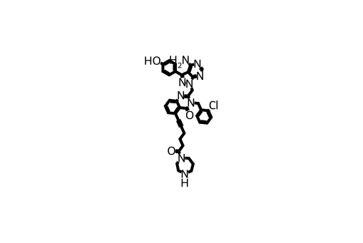 Nc1ncnc2c1c(-c1ccc(O)cc1)nn2Cc1nc2cccc(C#CCCCC(=O)N3CCCNCC3)c2c(=O)n1Cc1ccccc1Cl